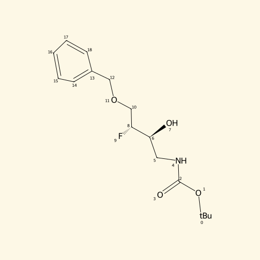 CC(C)(C)OC(=O)NC[C@H](O)[C@H](F)COCc1ccccc1